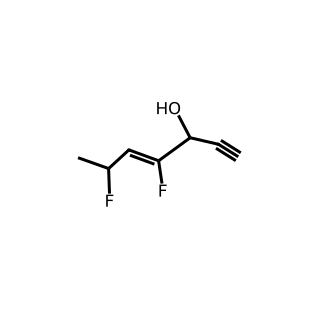 C#CC(O)C(F)=CC(C)F